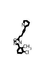 Cc1c(Cl)cccc1-c1noc(CCC#Cc2ccccn2)n1